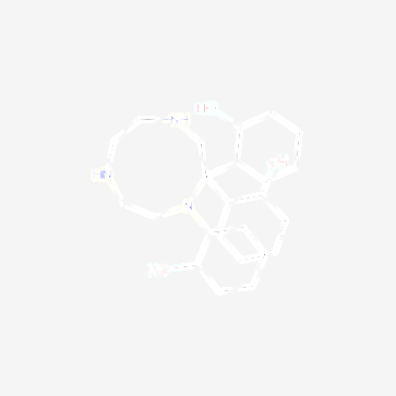 OC1CCCCC1N1CCNCCNCC1(C1CCCCC1O)C1CCCCC1O